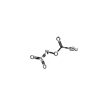 CC(C)(C)C(=O)ON=S(=O)=O